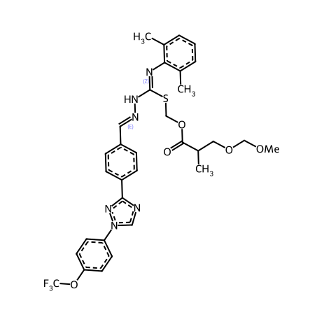 COCOCC(C)C(=O)OCS/C(=N\c1c(C)cccc1C)N/N=C/c1ccc(-c2ncn(-c3ccc(OC(F)(F)F)cc3)n2)cc1